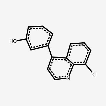 Oc1cccc(-c2[c]cnc3c(Cl)cccc23)c1